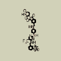 CN(c1cccc(CNc2nc(Nc3ccc(NCc4ccc5c(c4)C(=O)N(C4CCC(=O)NC4=O)C5=O)cc3)ncc2C(F)(F)F)c1)S(C)(=O)=O